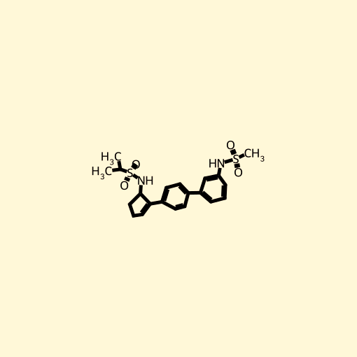 CC(C)S(=O)(=O)NC1CCC=C1c1ccc(-c2cccc(NS(C)(=O)=O)c2)cc1